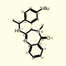 CCCCc1ccc(C(C)NC2=Nc3ccccc3C(=O)N(C)C2)cc1